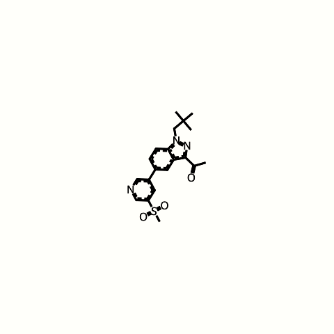 CC(=O)c1nn(CC(C)(C)C)c2ccc(-c3cncc(S(C)(=O)=O)c3)cc12